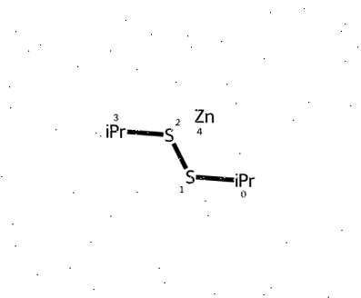 CC(C)SSC(C)C.[Zn]